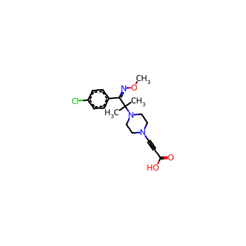 CON=C(c1ccc(Cl)cc1)C(C)(C)N1CCN(C#CC(=O)O)CC1